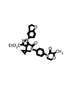 CCOC(=O)c1nn(-c2ccc3c(c2)CCO3)c2c1C1(CC1)CN(c1ccc(N3CCOC(C)C3=O)cc1)C2=O